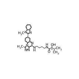 Cc1nnc2c(NCCCCNC(=O)[C@@H](O)C(C)C)nc3cc(-c4nc5ccccc5n4C)ccc3n12